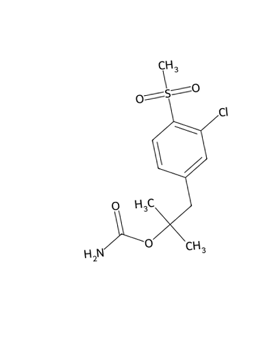 CC(C)(Cc1ccc(S(C)(=O)=O)c(Cl)c1)OC(N)=O